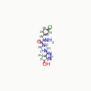 C[C@@H]1C[C@H](O)c2ncnc(N3CCN(C(=O)C(N)Cc4ccc(Cl)cc4)CC3)c21